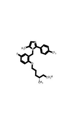 Cc1cnc(-c2ccc(C(F)(F)F)cc2)n1Cc1cc(F)ccc1OCCC[C@@H](C)CC(=O)O